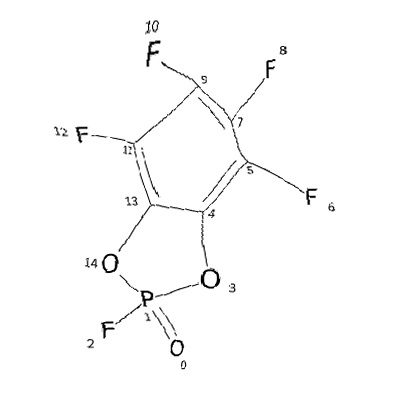 O=P1(F)Oc2c(F)c(F)c(F)c(F)c2O1